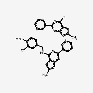 COc1ccc(CNc2nc(-c3cccnc3)nc3sc(C)cc23)cc1Cl.Cc1cc2c(Cl)nc(-c3cccnc3)nc2s1